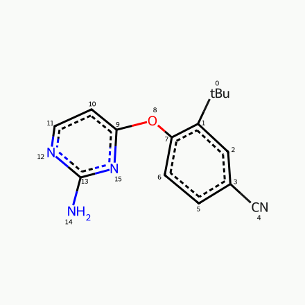 CC(C)(C)c1cc(C#N)ccc1Oc1ccnc(N)n1